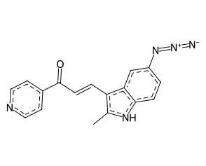 Cc1[nH]c2ccc(N=[N+]=[N-])cc2c1C=CC(=O)c1ccncc1